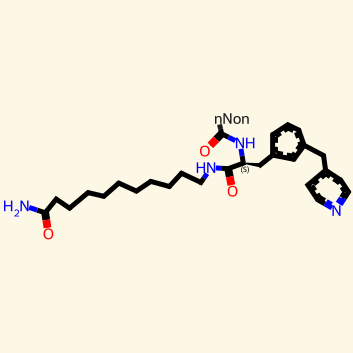 CCCCCCCCCC(=O)N[C@@H](Cc1cccc(Cc2ccncc2)c1)C(=O)NCCCCCCCCCCC(N)=O